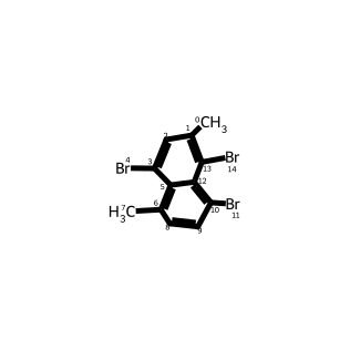 Cc1cc(Br)c2c(C)ccc(Br)c2c1Br